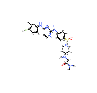 Cc1cc(Nc2ccnc(Nc3ccc([S+]([O-])N4CCC(N(C)CC(=O)N(C)C)CC4)cc3)n2)ccc1F